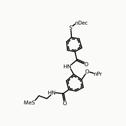 CCCCCCCCCCSc1ccc(C(=O)Nc2cc(C(=O)NCCSC)ccc2OCCC)cc1